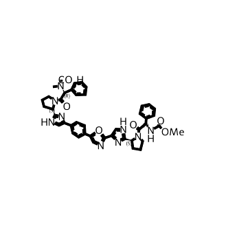 COC(=O)N[C@@H](C(=O)N1CCC[C@H]1c1nc(-c2ncc(-c3ccc(-c4c[nH]c([C@@H]5CCCN5C(=O)[C@@H](c5ccccc5)N(C)C(=O)O)n4)cc3)o2)c[nH]1)c1ccccc1